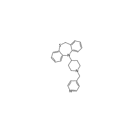 c1ccc2c(c1)CSc1ccccc1N2C1CCN(Cc2ccncc2)CC1